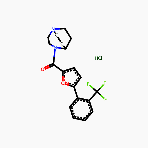 Cl.O=C(c1ccc(-c2ccccc2C(F)(F)F)o1)N1CCN2CCC1CC2